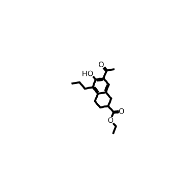 CCCc1c(O)c(C(C)=O)cc2c1CCC(C(=O)OCC)C2